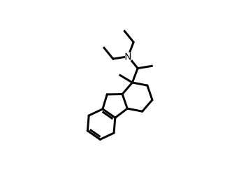 CCN(CC)C(C)C1(C)CCCC2C3=C(CC=CC3)CC21